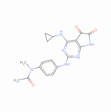 CC(=O)N(C)c1ccc(Nc2nc3c(c(NC4CC4)n2)C(=O)C(=O)N3)cc1